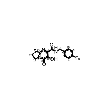 O=C(NCc1ccc(F)cc1)c1nc2n(c(=O)c1O)CCS2